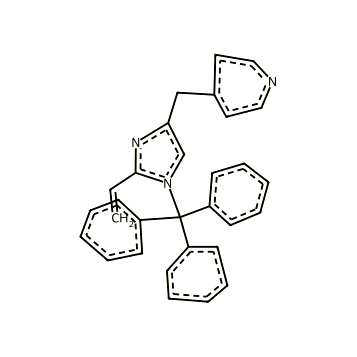 C=Cc1nc(Cc2ccncc2)cn1C(c1ccccc1)(c1ccccc1)c1ccccc1